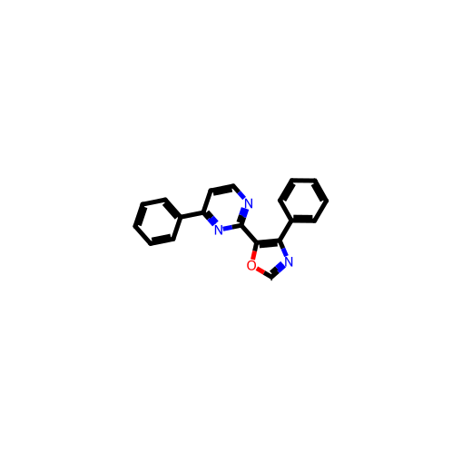 [c]1nc(-c2ccccc2)c(-c2nccc(-c3ccccc3)n2)o1